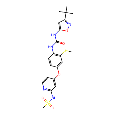 CSc1cc(Oc2ccnc(NS(C)(=O)=O)c2)ccc1NC(=O)Nc1cc(C(C)(C)C)no1